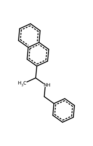 CC(NCc1ccccc1)c1ccc2ccccc2c1